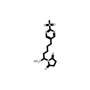 CS(=O)(=O)c1ncc(CCCCC(C(=O)O)N2C(=O)CCC2=O)cn1